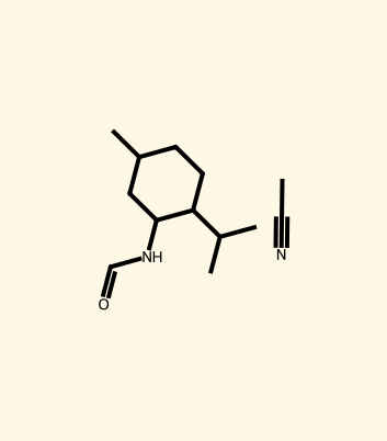 CC#N.CC1CCC(C(C)C)C(NC=O)C1